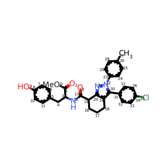 COC(=O)C(Cc1ccc(O)cc1)NC(=O)C1CCCc2c1nn(-c1ccc(C)cc1)c2-c1ccc(Cl)cc1